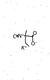 [C-]#[N+]C(C)(CC)C(=O)[O-].[K+]